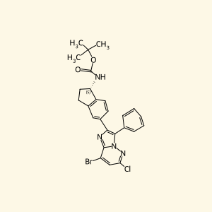 CC(C)(C)OC(=O)N[C@H]1CCc2cc(-c3nc4c(Br)cc(Cl)nn4c3-c3ccccc3)ccc21